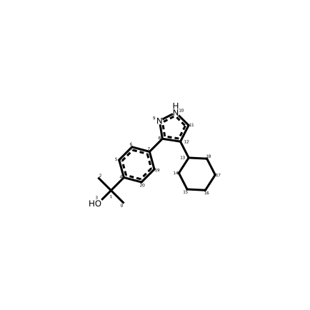 CC(C)(O)c1ccc(-c2n[nH]cc2C2CCCCC2)cc1